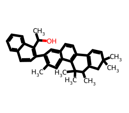 Cc1cc2c3c(ccc2cc1-c1ccc2ccccc2c1C(C)O)C1=C(CC(C)(C)C=C1)C(C)C3(C)C